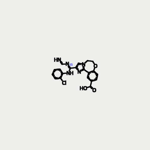 N=C/N=C(\Nc1ccccc1Cl)c1cn2c(n1)-c1cc(C(=O)O)ccc1OCC2